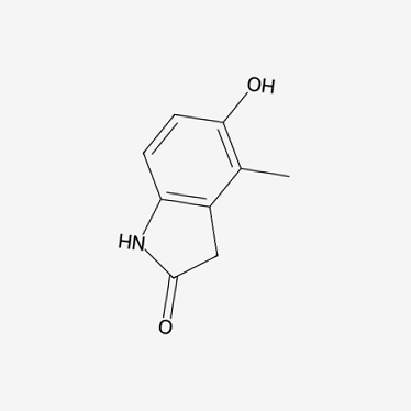 Cc1c(O)ccc2c1CC(=O)N2